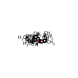 COCOc1c(OC)c(C)cc2c1C1C3CC4=C(C(=O)C(O)=C(C)C4=O)C(CNC(=O)C(C)NC(=O)OC(C)(C)C)N3[C@@H](C#N)C(C2)N1C